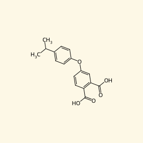 CC(C)c1ccc(Oc2ccc(C(=O)O)c(C(=O)O)c2)cc1